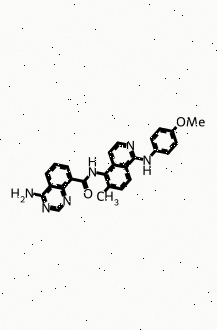 COc1ccc(Nc2nccc3c(NC(=O)c4cccc5c(N)ncnc45)c(C)ccc23)cc1